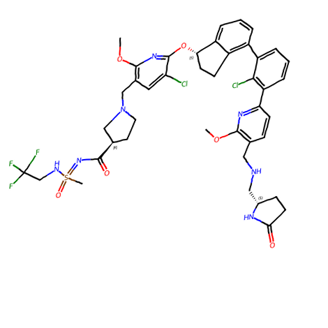 COc1nc(-c2cccc(-c3cccc4c3CC[C@@H]4Oc3nc(OC)c(CN4CC[C@@H](C(=O)N=S(C)(=O)NCC(F)(F)F)C4)cc3Cl)c2Cl)ccc1CNC[C@@H]1CCC(=O)N1